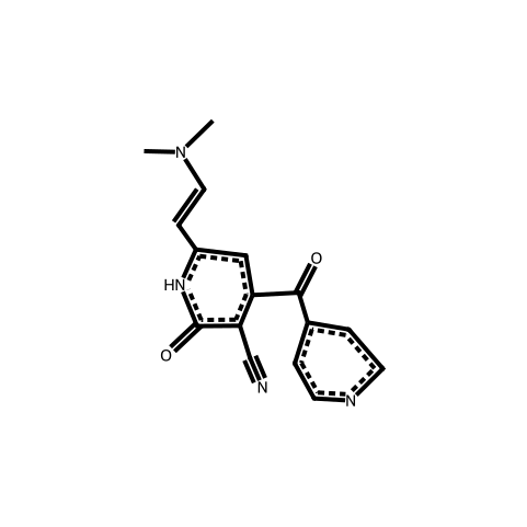 CN(C)C=Cc1cc(C(=O)c2ccncc2)c(C#N)c(=O)[nH]1